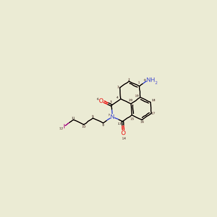 NC1=CCC2C(=O)N(CCCCI)C(=O)c3cccc1c32